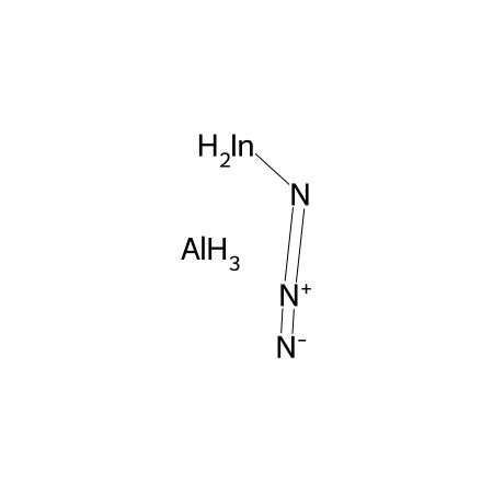 [AlH3].[N-]=[N+]=[N][InH2]